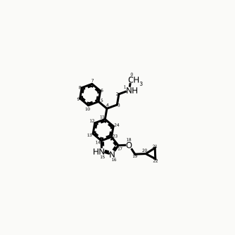 CNCCC(c1ccccc1)c1ccc2[nH]nc(OCC3CC3)c2c1